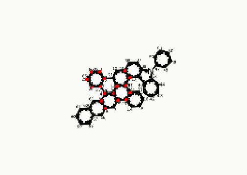 c1ccc(-c2ccccc2-c2c(-c3ccccc3)cccc2-c2ccccc2N(c2cccc(-c3cccc4c3c3ccccc3n4-c3ccccc3)c2)c2ccc3ccccc3c2)cc1